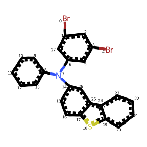 Brc1cc(Br)cc(N(c2ccccc2)c2ccc3sc4ccccc4c3c2)c1